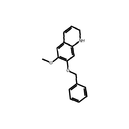 COc1cc2c(cc1OCc1ccccc1)NCC=C2